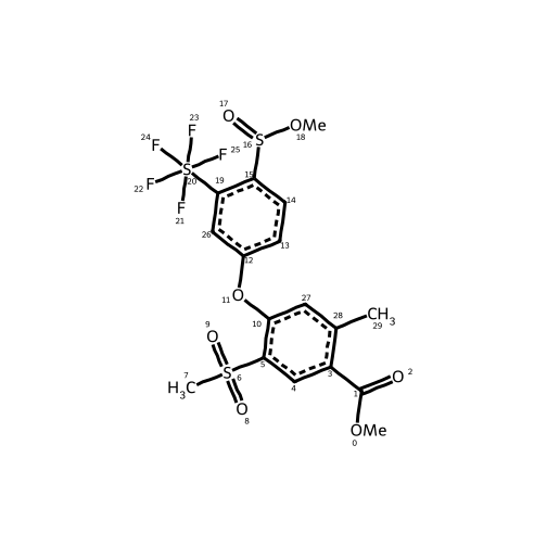 COC(=O)c1cc(S(C)(=O)=O)c(Oc2ccc(S(=O)OC)c(S(F)(F)(F)(F)F)c2)cc1C